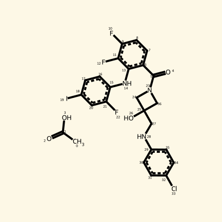 CC(=O)O.O=C(c1ccc(F)c(F)c1Nc1ccc(I)cc1F)N1CC(O)(CNc2ccc(Cl)cc2)C1